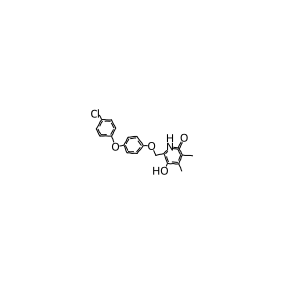 Cc1c(O)c(COc2ccc(Oc3ccc(Cl)cc3)cc2)[nH]c(=O)c1C